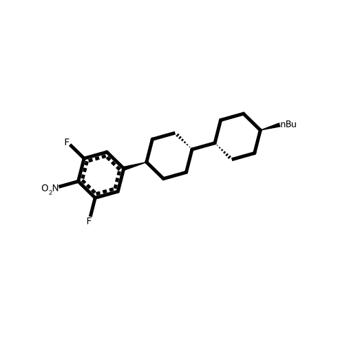 CCCC[C@H]1CC[C@H]([C@H]2CC[C@H](c3cc(F)c([N+](=O)[O-])c(F)c3)CC2)CC1